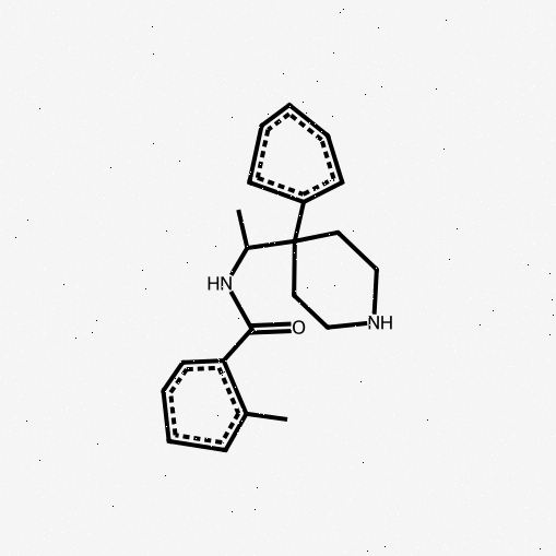 Cc1ccccc1C(=O)NC(C)C1(c2ccccc2)CCNCC1